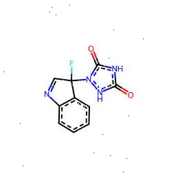 O=c1[nH]c(=O)n(C2(F)C=Nc3ccccc32)[nH]1